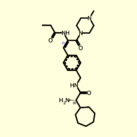 CCC(=O)N/C(=C/c1ccc(CNC(=O)[C@@H](N)C2CCCCCC2)cc1)C(=O)N1CCN(C)CC1